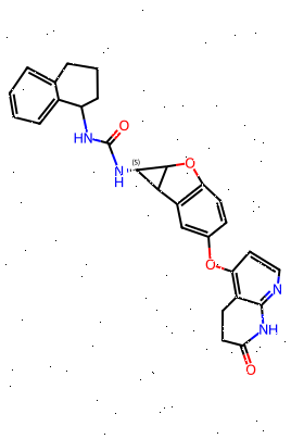 O=C1CCc2c(Oc3ccc4c(c3)C3C(O4)[C@H]3NC(=O)NC3CCCc4ccccc43)ccnc2N1